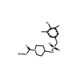 Cc1cc(CS(=O)(=O)NC2CCN(C(=O)OC(C)(C)C)CC2)cc(C)c1Br